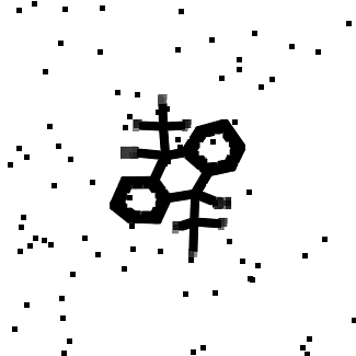 OC1(C(F)(F)F)c2ccccc2C(O)(C(F)(F)F)c2ccccc21